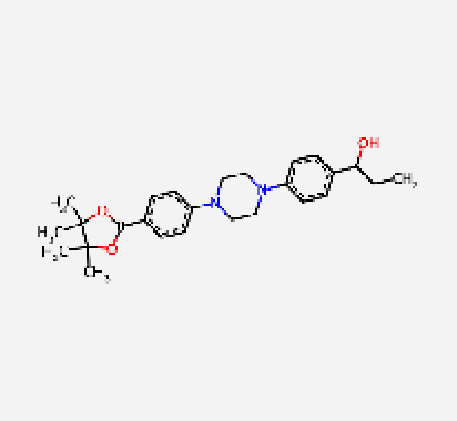 CCC(O)c1ccc(N2CCN(c3ccc(B4OC(C)(C)C(C)(C)O4)cc3)CC2)cc1